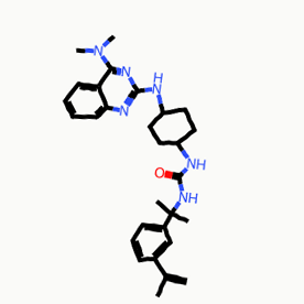 C=C(C)c1cccc(C(C)(C)NC(=O)NC2CCC(Nc3nc(N(C)C)c4ccccc4n3)CC2)c1